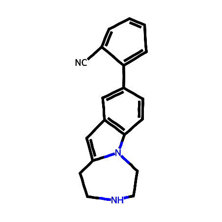 N#Cc1ccccc1-c1ccc2c(c1)cc1n2CCNCC1